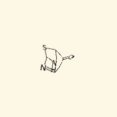 O=C1C=NC2NC1S2